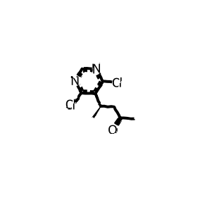 CC(=O)C[C@@H](C)c1c(Cl)ncnc1Cl